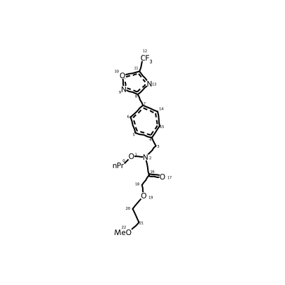 CCCON(Cc1ccc(-c2noc(C(F)(F)F)n2)cc1)C(=O)COCCOC